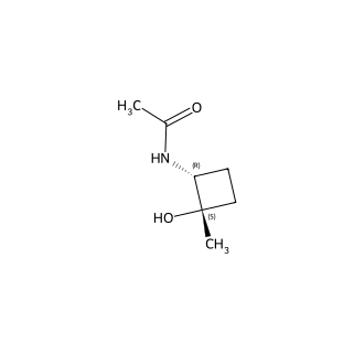 CC(=O)N[C@@H]1CC[C@]1(C)O